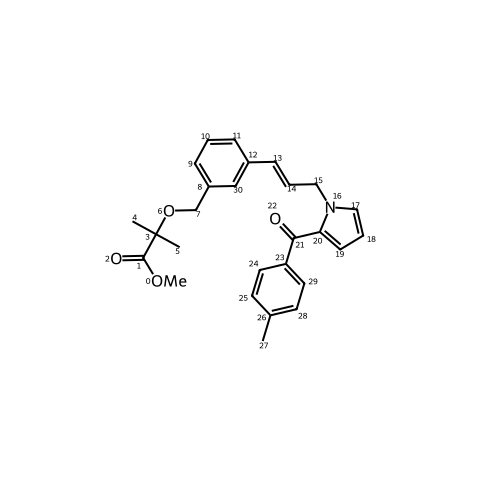 COC(=O)C(C)(C)OCc1cccc(/C=C/Cn2cccc2C(=O)c2ccc(C)cc2)c1